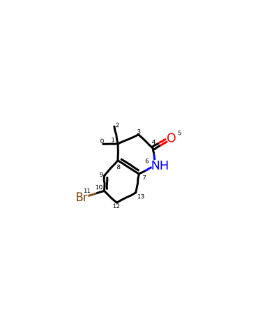 CC1(C)CC(=O)NC2=C1C=C(Br)CC2